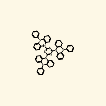 C1=CC2=C(CC1)N(c1ccccc1)c1ccccc1N2c1nc(N2C3=C(CCC=C3)N(c3ccccc3)c3ccccc32)nc(N2C3=C(CCC=C3)N(c3ccccc3)c3ccccc32)n1